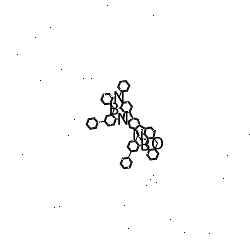 c1ccc(-c2ccc3c(c2)B2c4ccccc4Oc4ccc5c6cc7c8ccc9c%10c8n(c7cc6n-3c5c42)-c2ccc(-c3ccccc3)cc2B%10c2ccccc2N9c2ccccc2)cc1